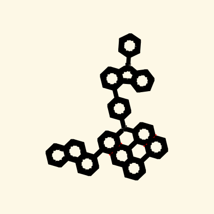 c1ccc(-c2cccc3cccc(-c4ccccc4N(c4ccc(-c5cccc6c5ccc5ccccc56)cc4)c4ccc(-c5cccc6c5c5ccccc5n6-c5ccccc5)cc4)c23)cc1